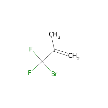 C=C(C)C(F)(F)Br